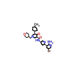 Cc1ccc(-c2cn(CC3CCOCC3)cc(C(=O)Nc3ccc(-c4cc(Br)cnc4N)nc3)c2=O)cc1